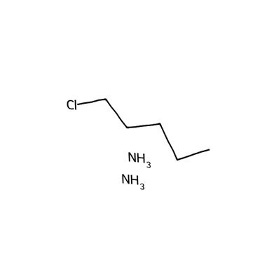 CCCCCCl.N.N